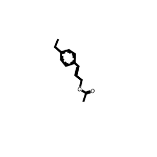 CCc1ccc(C=CCOC(C)=O)cc1